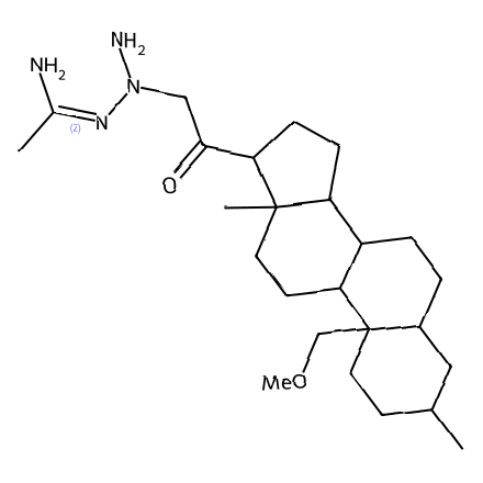 COCC12CCC(C)CC1CCC1C3CCC(C(=O)CN(N)/N=C(/C)N)C3(C)CCC12